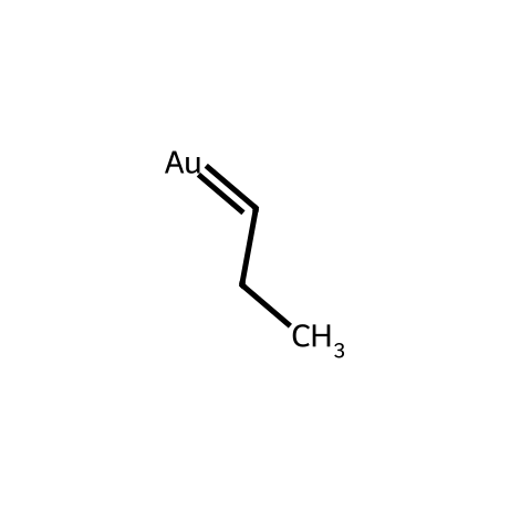 CC[CH]=[Au]